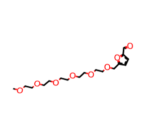 COCCOCCOCCOCCOCCOCc1ccc(C=O)o1